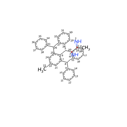 CC(=N)C(=N)Cc1c(C(c2ccccc2)c2ccccc2)cc(C)cc1C(c1ccccc1)c1ccccc1